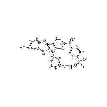 CS(=O)(=O)c1ccc(C(=O)N2CCc3c(c(-c4cccc(C#N)c4)nn3Cc3ccc(F)cc3F)C2)cc1